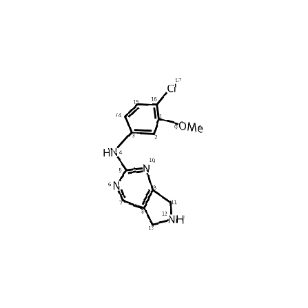 COc1cc(Nc2ncc3c(n2)CNC3)ccc1Cl